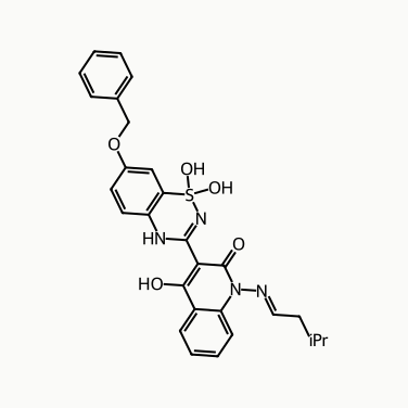 CC(C)CC=Nn1c(=O)c(C2=NS(O)(O)c3cc(OCc4ccccc4)ccc3N2)c(O)c2ccccc21